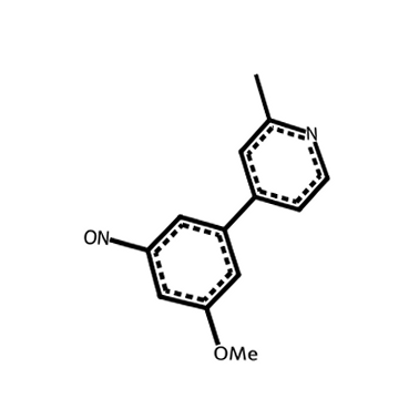 COc1cc(N=O)cc(-c2ccnc(C)c2)c1